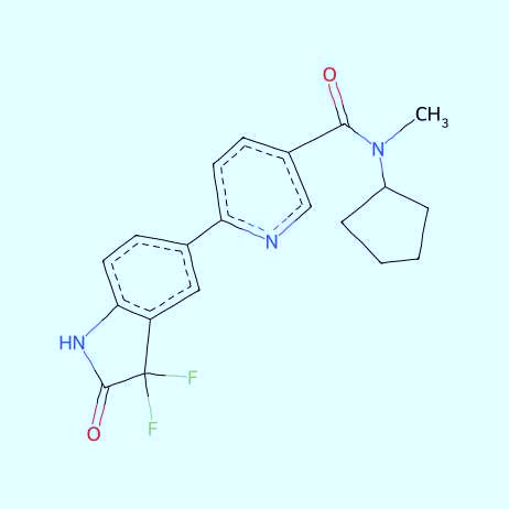 CN(C(=O)c1ccc(-c2ccc3c(c2)C(F)(F)C(=O)N3)nc1)C1CCCC1